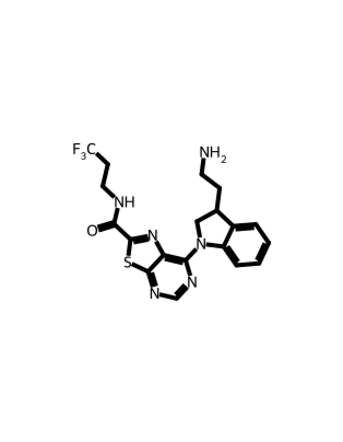 NCCC1CN(c2ncnc3sc(C(=O)NCCC(F)(F)F)nc23)c2ccccc21